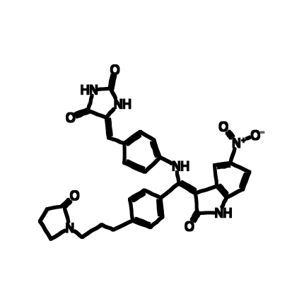 O=C1NC(=O)C(=Cc2ccc(NC(=C3C(=O)Nc4ccc([N+](=O)[O-])cc43)c3ccc(CCCN4CCCC4=O)cc3)cc2)N1